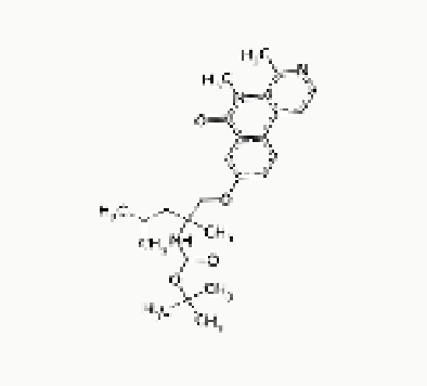 Cc1nccc2c3ccc(OCC(C)(CC(C)C)NC(=O)OC(C)(C)C)cc3c(=O)n(C)c12